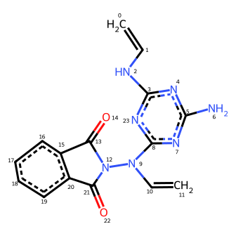 C=CNc1nc(N)nc(N(C=C)N2C(=O)c3ccccc3C2=O)n1